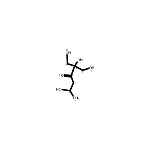 CC(O)CC(=O)C(O)(CO)CO